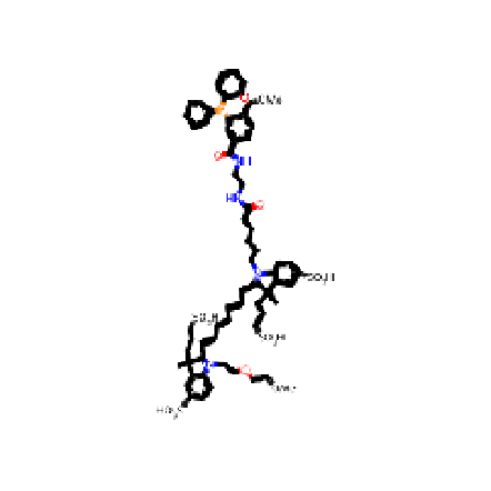 COCCOCC[N+]1=C(/C=C/C=C/C=C/C=C2/N(CCCCCC(=O)NCCNC(=O)c3ccc(C(=O)OC)c(P(c4ccccc4)c4ccccc4)c3)c3ccc(S(=O)(=O)O)cc3C2(C)CCCS(=O)(=O)O)C(C)(CCCS(=O)(=O)O)c2cc(S(=O)(=O)O)ccc21